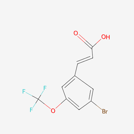 O=C(O)/C=C/c1cc(Br)cc(OC(F)(F)F)c1